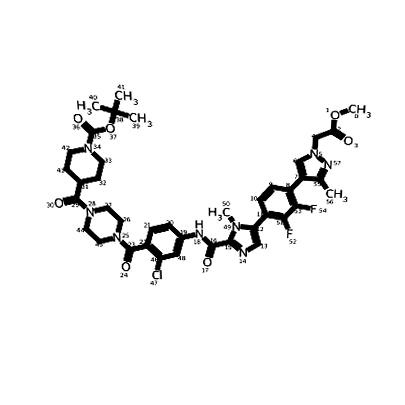 COC(=O)Cn1cc(-c2ccc(-c3cnc(C(=O)Nc4ccc(C(=O)N5CCN(C(=O)C6CCN(C(=O)OC(C)(C)C)CC6)CC5)c(Cl)c4)n3C)c(F)c2F)c(C)n1